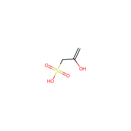 C=C(O)CS(=O)(=O)O